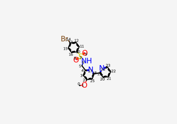 COc1cc(CNS(=O)(=O)c2ccc(Br)cc2)nc(-c2ccccn2)c1